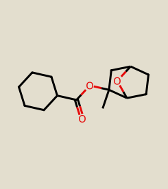 CC1(OC(=O)C2CCCCC2)CC2CCC1O2